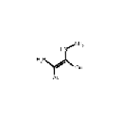 CCCC/C(NN)=C(/N)C(C)=O